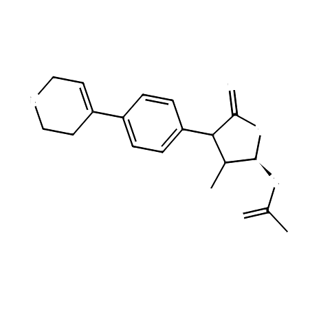 CC(=O)N[C@@H]1OC(=O)C(c2ccc(C3=CCNCC3)cc2)C1C